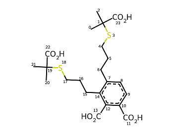 CC(C)(SCCCc1ccc(C(=O)O)c(C(=O)O)c1CCCSC(C)(C)C(=O)O)C(=O)O